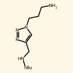 CCCCNCc1cn(CCCN)nn1